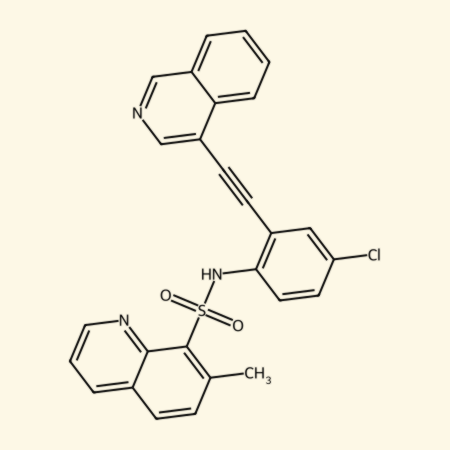 Cc1ccc2cccnc2c1S(=O)(=O)Nc1ccc(Cl)cc1C#Cc1cncc2ccccc12